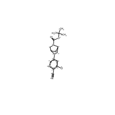 CC(C)(C)OC(=O)N1CC2CC1CN2c1cnc(C#N)c(Cl)c1